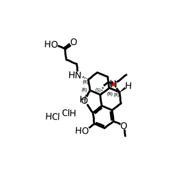 COc1cc(O)c2c3c1C[C@@H]1[C@@H]4CC[C@@H](NCCC(=O)O)[C@H](O2)[C@]34CCN1C.Cl.Cl